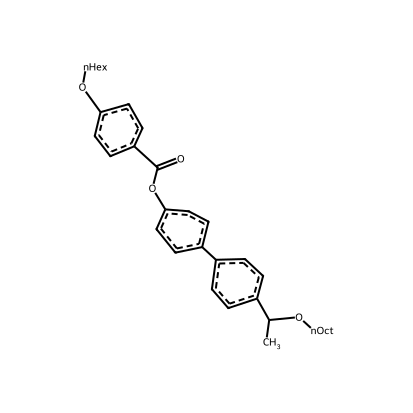 CCCCCCCCOC(C)c1ccc(-c2ccc(OC(=O)c3ccc(OCCCCCC)cc3)cc2)cc1